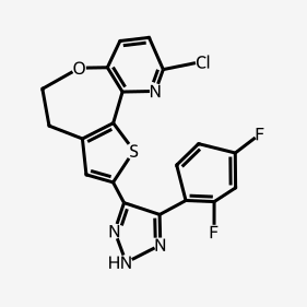 Fc1ccc(-c2n[nH]nc2-c2cc3c(s2)-c2nc(Cl)ccc2OCC3)c(F)c1